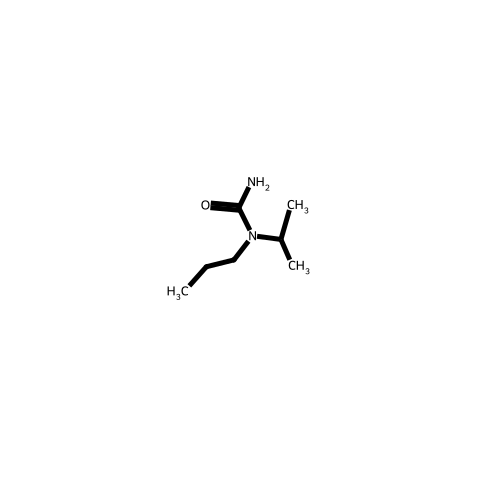 CCCN(C(N)=O)C(C)C